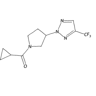 O=C(C1CC1)N1CCC(n2ncc(C(F)(F)F)n2)C1